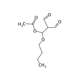 CCCCOC(OC(C)=O)C(C=O)C=O